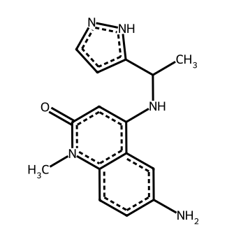 CC(Nc1cc(=O)n(C)c2ccc(N)cc12)c1ccn[nH]1